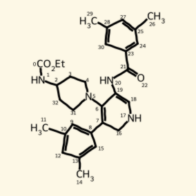 CCOC(=O)NC1CCN(C2=C(c3cc(C)cc(C)c3)CNC=C2NC(=O)c2cc(C)cc(C)c2)CC1